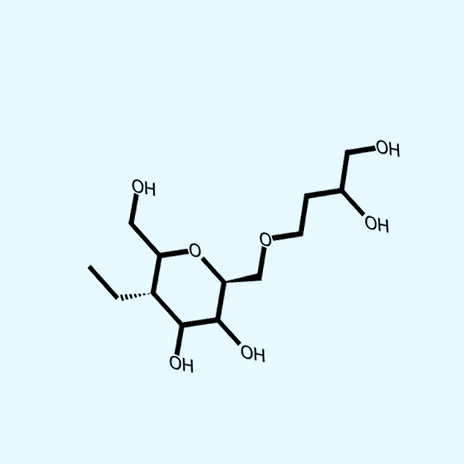 CC[C@@H]1C(CO)O[C@@H](COCCC(O)CO)C(O)C1O